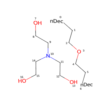 CCCCCCCCCCCCOCCCCCCCCCCCC.OCCN(CCO)CCO